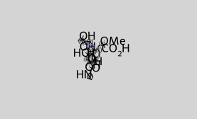 CO[C@@H](C[C@H]1C=C[C@H]2[C@H]3O[C@]1(/C(C)=C/[C@@H](C)[C@H](O)[C@@H](C)O)[C@@H]2[C@H](O)[C@@H](C)[C@H]3OC(=O)c1ccc[nH]1)C(=O)O